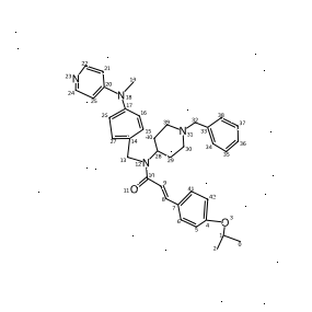 CC(C)Oc1ccc(C=CC(=O)N(Cc2ccc(N(C)c3ccncc3)cc2)C2CCN(Cc3ccccc3)CC2)cc1